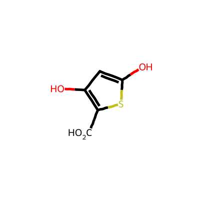 O=C(O)c1sc(O)cc1O